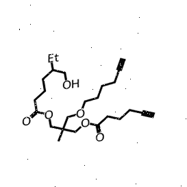 C#CCCCCOCC(C)(COC(=O)CCCC#C)COC(=O)CCCC(CC)CO